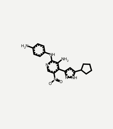 Nc1ccc(Nc2ncc([N+](=O)[O-])c(-c3cc(C4CCCC4)[nH]n3)c2N)cc1